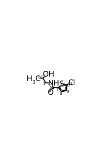 C[C@@H](O)CNC(=O)c1ccc(Cl)s1